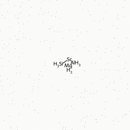 [AlH3].[MgH2].[SiH3][Sc]